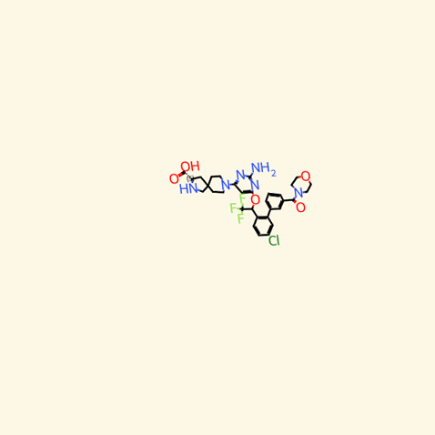 Nc1nc(OC(c2ccc(Cl)cc2-c2cccc(C(=O)N3CCOCC3)c2)C(F)(F)F)cc(N2CCC3(CC2)CN[C@H](C(=O)O)C3)n1